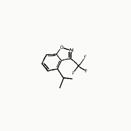 CC(C)c1cccc2onc(C(F)(F)F)c12